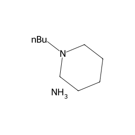 CCCCN1CCCCC1.N